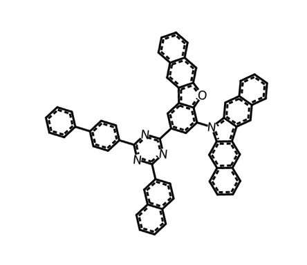 c1ccc(-c2ccc(-c3nc(-c4ccc5ccccc5c4)nc(-c4cc(-n5c6cc7ccccc7cc6c6cc7ccccc7cc65)c5oc6cc7ccccc7cc6c5c4)n3)cc2)cc1